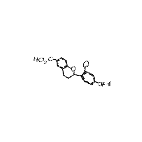 O=C(O)c1ccc2c(c1)CCC(c1ccc(O)cc1Cl)O2